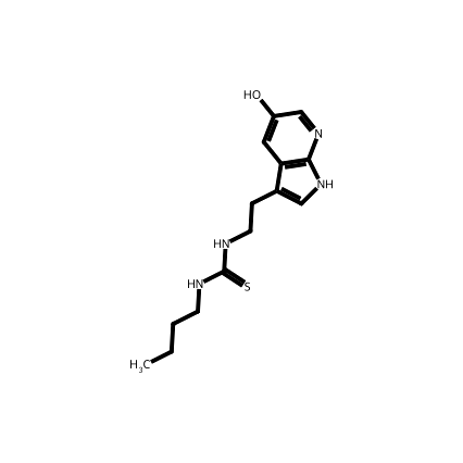 CCCCNC(=S)NCCc1c[nH]c2ncc(O)cc12